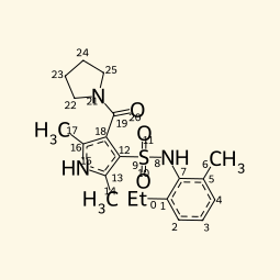 CCc1cccc(C)c1NS(=O)(=O)c1c(C)[nH]c(C)c1C(=O)N1CCCC1